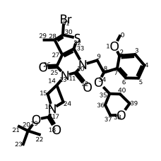 COc1ccccc1C(Cn1c(=O)n(C2CN(C(=O)OC(C)(C)C)C2)c(=O)c2c(C)c(Br)sc21)OC1CCOCC1